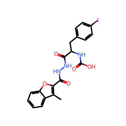 Cc1c(C(=O)NNC(=O)C(Cc2ccc(I)cc2)NC(=O)O)oc2ccccc12